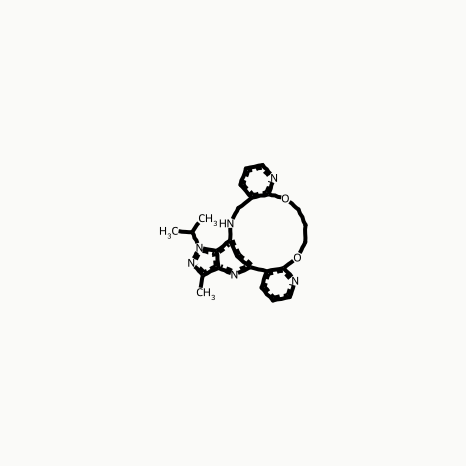 Cc1nn(C(C)C)c2c3cc(nc12)-c1cccnc1OCCCOc1ncccc1CN3